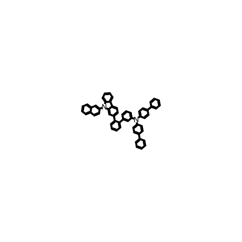 c1ccc(-c2ccc(N(c3ccc(-c4ccccc4)cc3)c3cccc(-c4ccccc4-c4ccc5c6ccccc6n(-c6ccc7ccccc7c6)c5c4)c3)cc2)cc1